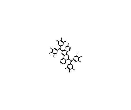 Cc1ccc2c(c1)c(N(c1cc(C)c(C)c(C)c1)c1cc(C)c(C)c(C)c1)cc1c3ccccc3c(N(c3cc(C)c(C)c(C)c3)c3cc(C)c(C)c(C)c3)cc21